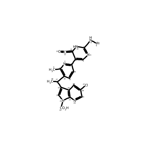 Cc1nc(C2=CN=C(NC(C)C)NC2=C=O)ccc1C(C)c1cn(C(=O)O)c2ncc(Cl)cc12